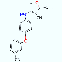 CC1OCC(Nc2ccc(Oc3cccc(C#N)c3)cc2)=C1C#N